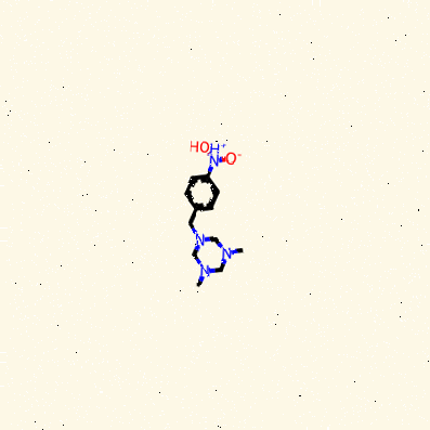 CN1CN(C)CN(Cc2ccc([NH+]([O-])O)cc2)C1